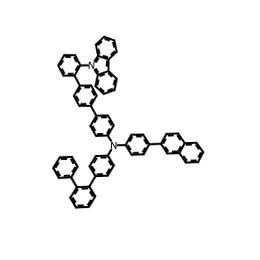 c1ccc(-c2ccccc2-c2ccc(N(c3ccc(-c4ccc(-c5ccccc5-n5c6ccccc6c6ccccc65)cc4)cc3)c3ccc(-c4ccc5ccccc5c4)cc3)cc2)cc1